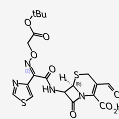 C=CC1=C(C(=O)O)N2C(=O)C(NC(=O)/C(=N\OCC(=O)OC(C)(C)C)c3cscn3)[C@H]2SC1